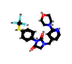 O=C1CN(Cc2ccnc(N3CCOCC3)c2)C(=O)N1c1ccc(SC(F)(F)F)cc1